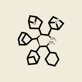 C[C@H](C1C2CCCC1O2)[C@H](C1CC2CC(C1)O2)C(C1C2CCCC1C2)[C@H](C1CC2CC(C2)C1)[C@@H](C)C1CCCCC1